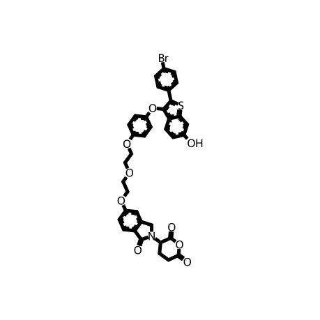 O=C1CCC(N2Cc3cc(OCCOCCOc4ccc(Oc5c(-c6ccc(Br)cc6)sc6cc(O)ccc56)cc4)ccc3C2=O)C(=O)O1